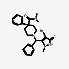 CN(C)C(=O)C1(c2ccccc2)CCN(C(c2ccccc2)c2c(Br)c(=O)[nH]n2C)CC1